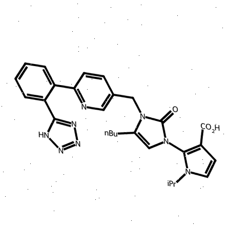 CCCCc1cn(-c2c(C(=O)O)ccn2C(C)C)c(=O)n1Cc1ccc(-c2ccccc2-c2nnn[nH]2)nc1